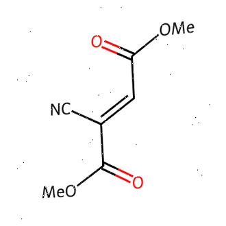 COC(=O)/C=C(\C#N)C(=O)OC